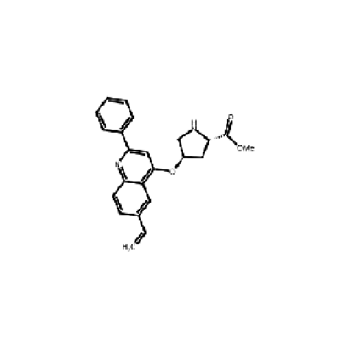 C=Cc1ccc2nc(-c3ccccc3)cc(O[C@H]3CN[C@H](C(=O)OC)C3)c2c1